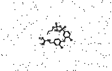 CCCOP(=O)(O)OS(=O)(=O)c1ccc(Br)c(Oc2ccc(CNC(=N)N)cc2Br)c1